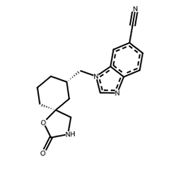 N#Cc1ccc2ncn(C[C@H]3CCC[C@@]4(CNC(=O)O4)C3)c2c1